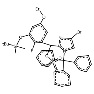 CCOc1cc(O[Si](C)(C)C(C)(C)C)c(F)c(C(OS(C)(=O)=O)c2nc(Br)cn2C(c2ccccc2)(c2ccccc2)c2ccccc2)c1